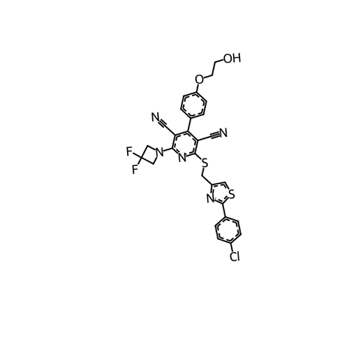 N#Cc1c(SCc2csc(-c3ccc(Cl)cc3)n2)nc(N2CC(F)(F)C2)c(C#N)c1-c1ccc(OCCO)cc1